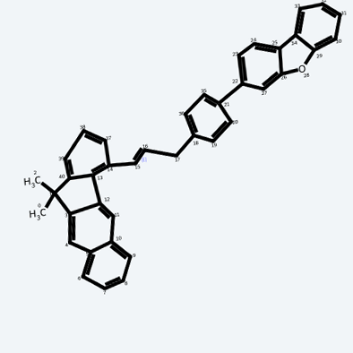 CC1(C)c2cc3ccccc3cc2-c2c(/C=C/Cc3ccc(-c4ccc5c(c4)oc4ccccc45)cc3)cccc21